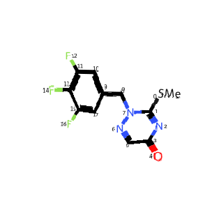 CSc1nc(=O)cnn1Cc1cc(F)c(F)c(F)c1